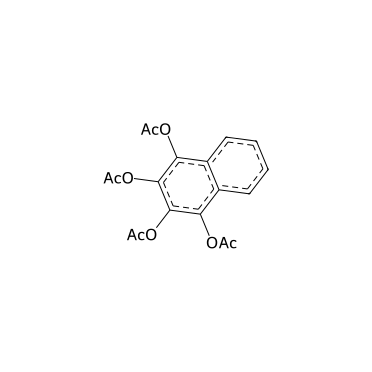 CC(=O)Oc1c(OC(C)=O)c(OC(C)=O)c2ccccc2c1OC(C)=O